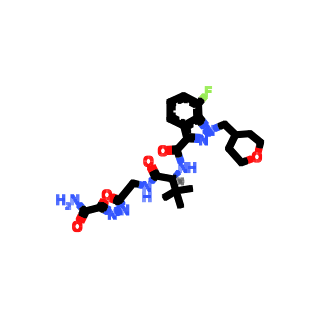 CC(C)(C)[C@H](NC(=O)c1nn(CC2CCOCC2)c2c(F)cccc12)C(=O)NCc1nnc(C(N)=O)o1